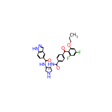 CCCOc1cc(F)cc(F)c1C(=O)c1ccc(C(=O)N[C@@H]2CNC[C@H]2NC(=O)c2ccc3[nH]ncc3c2)cc1